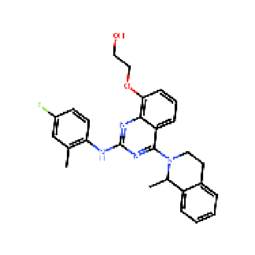 Cc1cc(F)ccc1Nc1nc(N2CCc3ccccc3C2C)c2cccc(OCCO)c2n1